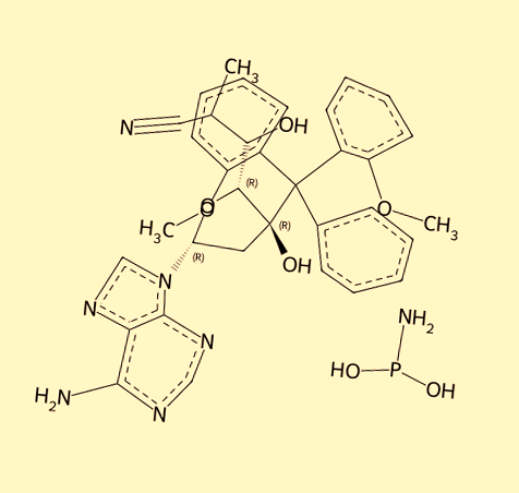 COc1ccccc1C(c1ccccc1)(c1ccccc1OC)[C@]1(O)C[C@H](n2cnc3c(N)ncnc32)O[C@@H]1C(O)C(C)C#N.NP(O)O